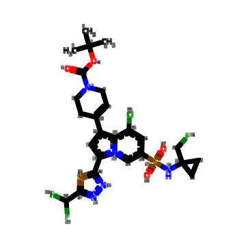 CC(C)(C)OC(=O)N1CC=C(c2cc(-c3nnc(C(F)F)s3)n3cc(S(=O)(=O)NC4(CF)CC4)cc(Cl)c23)CC1